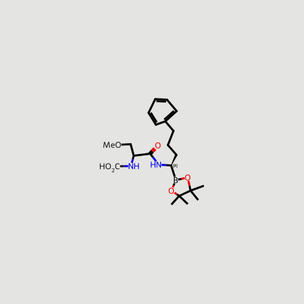 COCC(NC(=O)O)C(=O)N[C@@H](CCCc1ccccc1)B1OC(C)(C)C(C)(C)O1